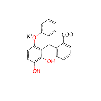 O=C([O-])c1ccccc1C1c2ccccc2Oc2ccc(O)c(O)c21.[K+]